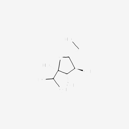 OC[C@H]1O[C@](O)(C(O)O)[C@@H](O)[C@@H]1O